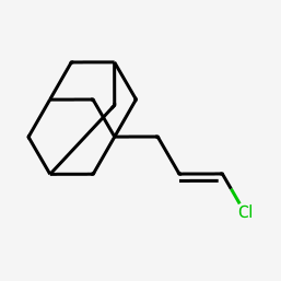 ClC=CCC12CC3CC(CC(C3)C1)C2